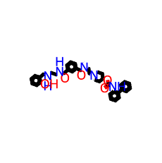 CN(CCN1CCC(OC(=O)Nc2ccccc2-c2ccccc2)CC1)C(=O)c1cccc(C(=O)NCCNCc2ccccc2O)c1